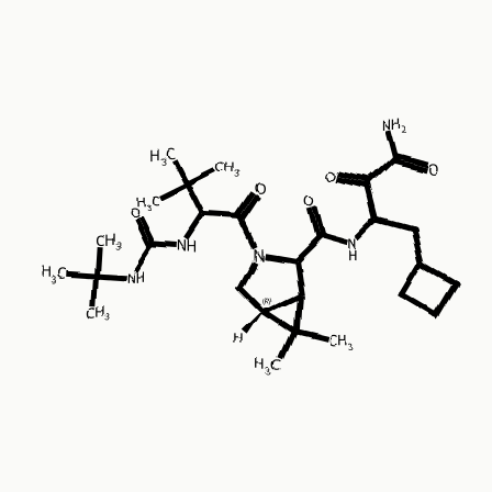 CC(C)(C)NC(=O)NC(C(=O)N1C[C@@H]2C(C1C(=O)NC(CC1CCC1)C(=O)C(N)=O)C2(C)C)C(C)(C)C